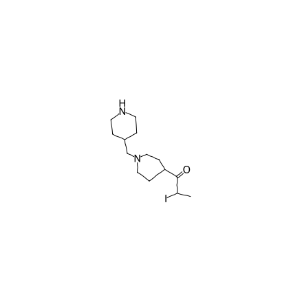 CC(I)C(=O)C1CCN(CC2CCNCC2)CC1